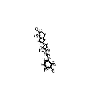 O=C1CCc2cc(N3CC[C@](O)(C(=O)NCc4ccc(F)c(Cl)c4F)C3=O)ccc2N1